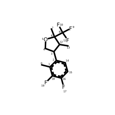 Cc1c(C2COC(C)(C(F)(F)F)C2C)ccc(F)c1F